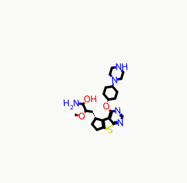 COC(C[C@H]1CCc2sc3ncnc(O[C@H]4CC[C@H](N5CCNCC5)CC4)c3c21)C(N)O